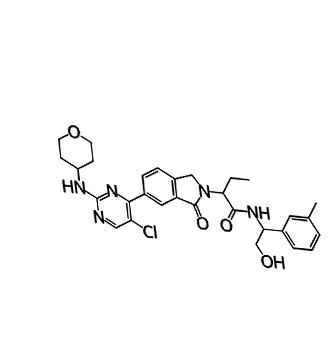 CCC(C(=O)NC(CO)c1cccc(C)c1)N1Cc2ccc(-c3nc(NC4CCOCC4)ncc3Cl)cc2C1=O